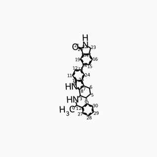 CC(NC1CCCc2c1[nH]c1ccc(-c3ccc4c(c3)C(=O)NC4)cc21)c1ccccc1